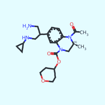 CC(=O)N1c2ccc(C(CN)CNC3CC3)cc2N(C(=O)OC2CCOCC2)C[C@@H]1C